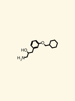 NCC(O)Cc1cccc(OCC2CCCCC2)c1